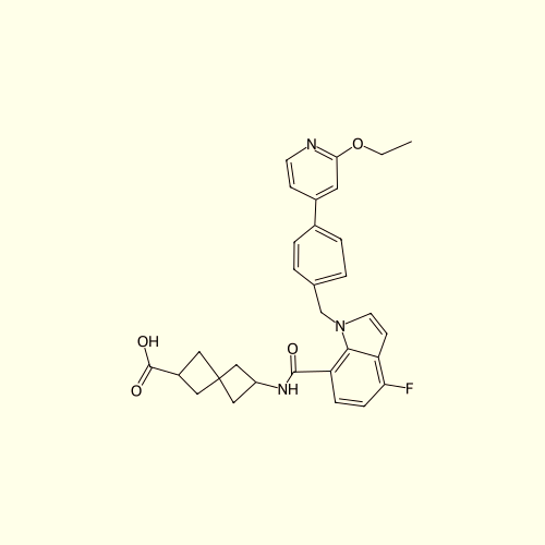 CCOc1cc(-c2ccc(Cn3ccc4c(F)ccc(C(=O)NC5CC6(C5)CC(C(=O)O)C6)c43)cc2)ccn1